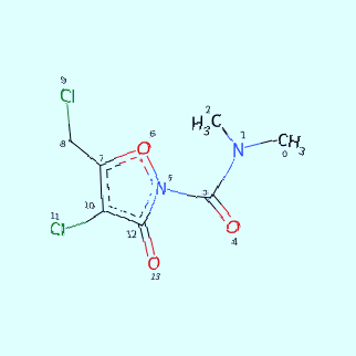 CN(C)C(=O)n1oc(CCl)c(Cl)c1=O